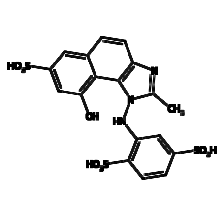 Cc1nc2ccc3cc(S(=O)(=O)O)cc(O)c3c2n1Nc1cc(S(=O)(=O)O)ccc1S(=O)(=O)O